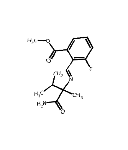 COC(=O)c1cccc(F)c1/C=N/C(C)(C(N)=O)C(C)C